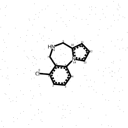 Clc1cccc2c1CNCc1cccn1-2